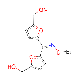 CCON=C(c1ccc(CO)o1)c1ccc(CO)o1